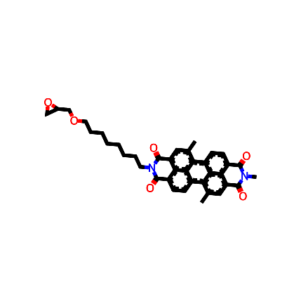 Cc1cc2c3c(ccc4c5c(C)cc6c7c(ccc(c1c34)c75)C(=O)N(CCCCCCCCOCC1CO1)C6=O)C(=O)N(C)C2=O